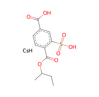 CCC(C)OC(=O)c1ccc(C(=O)O)cc1S(=O)(=O)O.[CsH]